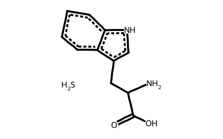 NC(Cc1c[nH]c2ccccc12)C(=O)O.S